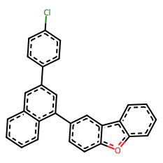 Clc1ccc(-c2cc(-c3ccc4oc5ccccc5c4c3)c3ccccc3c2)cc1